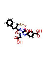 O=C(O)CC[C@@](NC(=O)C(CS)Cc1ccccc1)(Nc1ccc(C(=O)O)cc1)C(=O)O